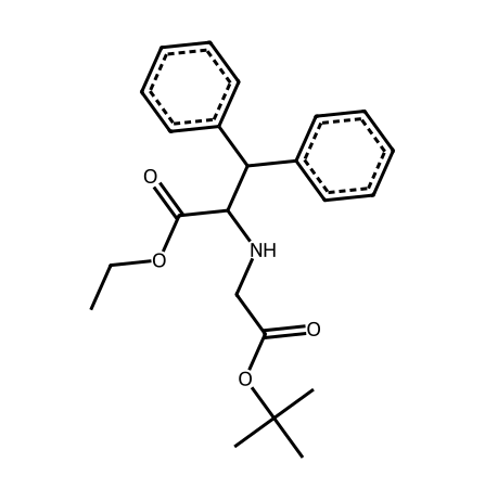 CCOC(=O)C(NCC(=O)OC(C)(C)C)C(c1ccccc1)c1ccccc1